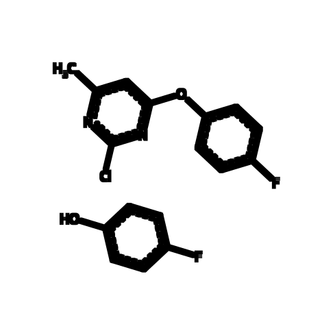 Cc1cc(Oc2ccc(F)cc2)nc(Cl)n1.Oc1ccc(F)cc1